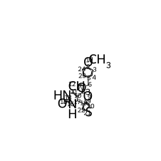 COc1ccc(COC(=O)C2=C(C)NC(=O)NC2c2ccsc2)cc1